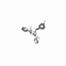 Fc1ccc(/C=C/c2nc(Nc3cc(-c4ccco4)[nH]n3)cc(NC3CCOCC3)n2)cc1